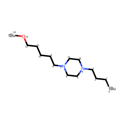 CC(C)(C)CCCN1CCN(CCCCCOC(C)(C)C)CC1